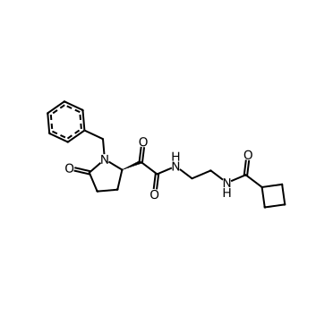 O=C(NCCNC(=O)C1CCC1)C(=O)[C@H]1CCC(=O)N1Cc1ccccc1